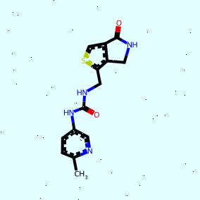 Cc1ccc(NC(=O)NCc2scc3c2CNC3=O)cn1